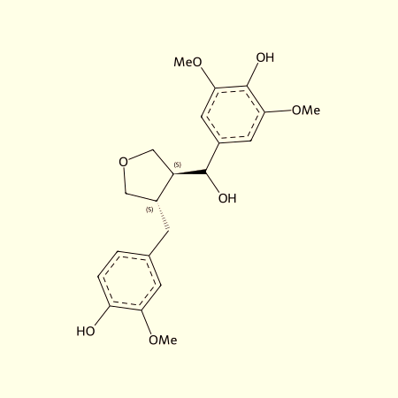 COc1cc(C[C@@H]2COC[C@H]2C(O)c2cc(OC)c(O)c(OC)c2)ccc1O